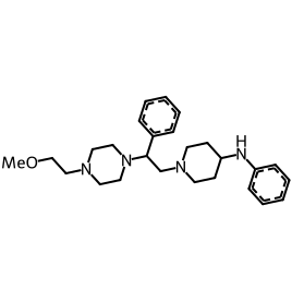 COCCN1CCN(C(CN2CCC(Nc3ccccc3)CC2)c2ccccc2)CC1